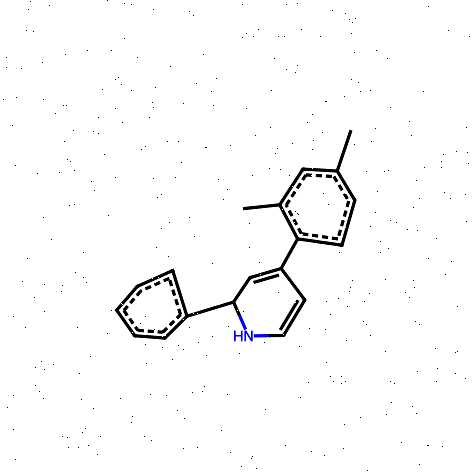 Cc1ccc(C2=CC(c3ccccc3)NC=C2)c(C)c1